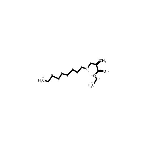 C=C(COCCCCCCCCC)C(=O)OCC